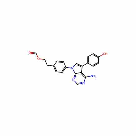 Nc1ncnc2c1c(-c1ccc(O)cc1)cn2-c1ccc(CCOC=O)cc1